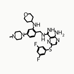 CN1CCN(c2ccc(CNC(=N)c3nc(Sc4cc(F)cc(F)c4)cnc3N)c(NC3CCOCC3)c2)CC1